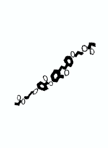 C=CC(=O)OCCCOc1ccc(C(=O)Cc2ccc(OC(=O)c3ccc(OCCCOC(=O)C=C)cc3)cc2C)cc1